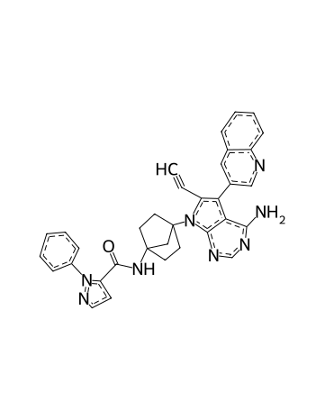 C#Cc1c(-c2cnc3ccccc3c2)c2c(N)ncnc2n1C12CCC(NC(=O)c3ccnn3-c3ccccc3)(CC1)C2